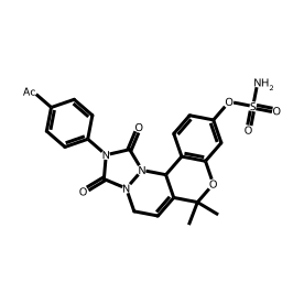 CC(=O)c1ccc(-n2c(=O)n3n(c2=O)C2C(=CC3)C(C)(C)Oc3cc(OS(N)(=O)=O)ccc32)cc1